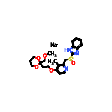 COCC1(CCOc2ccnc(C[S+]([O-])c3nc4ccccc4[nH]3)c2C)OCCCO1.[Na]